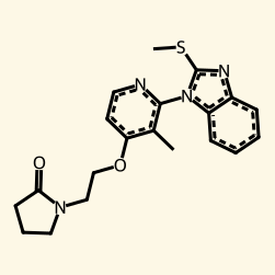 CSc1nc2ccccc2n1-c1nccc(OCCN2CCCC2=O)c1C